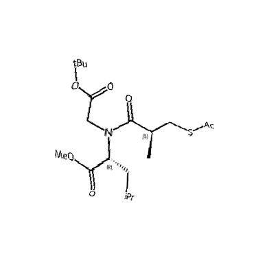 COC(=O)[C@@H](CC(C)C)N(CC(=O)OC(C)(C)C)C(=O)[C@H](C)CSC(C)=O